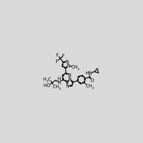 Cc1cc(-c2cnc3c(NCC(C)(C)O)cc(-c4cc(C(F)(F)F)nn4C)nn23)ccc1C(=O)NC1CC1